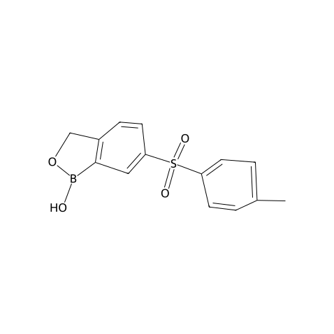 Cc1ccc(S(=O)(=O)c2ccc3c(c2)B(O)OC3)cc1